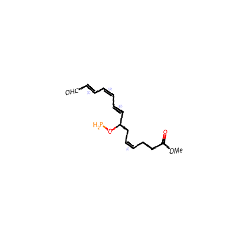 COC(=O)CC/C=C\CC(/C=C/C=C\C=C\C=O)OP